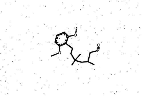 COc1cccc(OC)c1CCC(C)(C)CC(C)CP=O